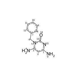 Nc1cc(N)n(Cc2ccccc2)c(=O)n1